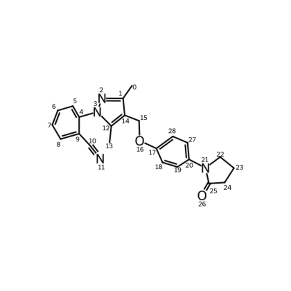 Cc1nn(-c2ccccc2C#N)c(C)c1COc1ccc(N2CCCC2=O)cc1